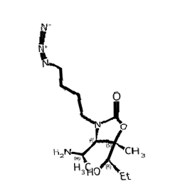 CC[C@@H](O)[C@@]1(C)OC(=O)N(CCCCN=[N+]=[N-])[C@@H]1[C@@H](C)N